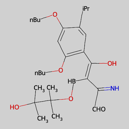 CCCCOc1cc(OCCCC)c(C(C)C)cc1/C(O)=C(\BOC(C)(C)C(C)(C)O)C(=N)C=O